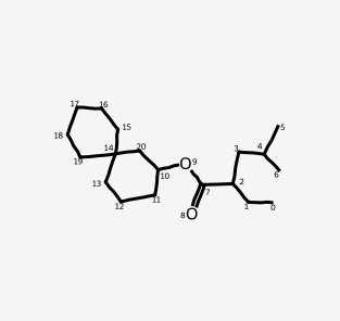 CCC(CC(C)C)C(=O)OC1CCCC2(CCCCC2)C1